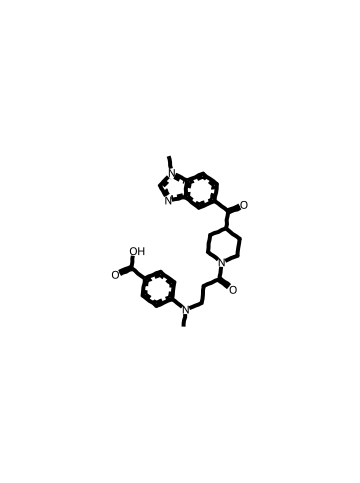 CN(CCC(=O)N1CCC(C(=O)c2ccc3c(c2)ncn3C)CC1)c1ccc(C(=O)O)cc1